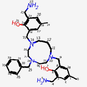 Cc1cc(CN)c(O)c(CN2CCCN(Cc3cc(C)cc(CN)c3O)CCN(Cc3ccccc3)CC2)c1